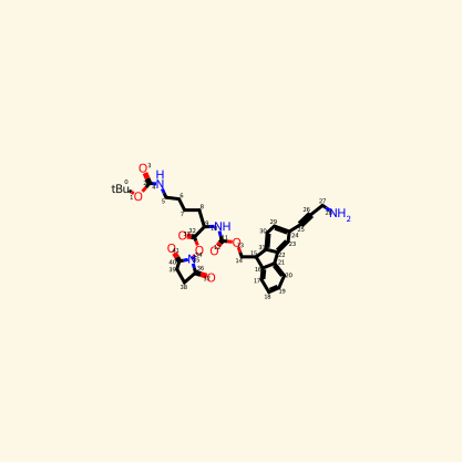 CC(C)(C)OC(=O)NCCCCC(NC(=O)OCC1c2ccccc2-c2cc(C#CCN)ccc21)C(=O)ON1C(=O)CCC1=O